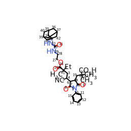 CCC(C)(CC(C#N)C1C(=O)N(c2ccccc2)C(=O)C1CC(C)(C)C(=O)O)C(=O)OCCNC(=O)NC12CC3CC(CC(C3)C1)C2